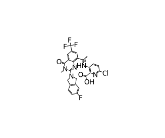 C[C@@H](Nc1ccc(Cl)nc1C(=O)O)c1cc(C(F)(F)F)cc2c(=O)n(C)c(N3Cc4ccc(F)cc4C3)nc12